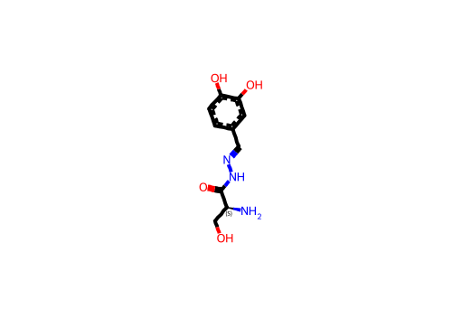 N[C@@H](CO)C(=O)NN=Cc1ccc(O)c(O)c1